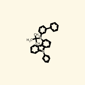 CC(C)(C)N(c1cccc(-c2ccccc2)c1)c1cccc2c1c1ccccc1n2-c1ccccc1